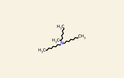 CCCCCCCCN(CCCCCCCC)C(C)CCCCCC